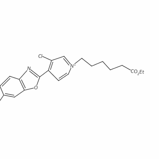 CCOC(=O)CCCCC[n+]1ccc(-c2nc3ccc(O)cc3o2)c(Cl)c1